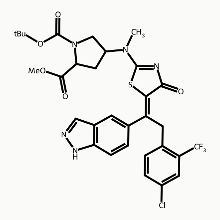 COC(=O)C1CC(N(C)C2=NC(=O)C(=C(Cc3ccc(Cl)cc3C(F)(F)F)c3ccc4[nH]ncc4c3)S2)CN1C(=O)OC(C)(C)C